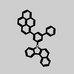 c1ccc(-c2cc(-c3ccc4ccc5cccc6ccc3c4c56)cc(-n3c4ccccc4c4c5ccccc5ccc43)c2)cc1